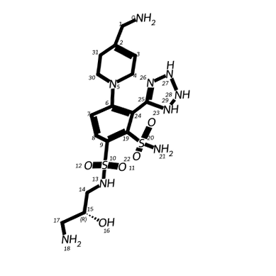 NCC1=CCN(c2ccc(S(=O)(=O)NC[C@H](O)CN)c(S(N)(=O)=O)c2C2=NNNN2)CC1